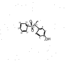 CN(c1ccc(O)cc1)S(=O)(=O)c1ccccc1